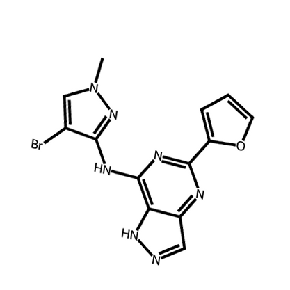 Cn1cc(Br)c(Nc2nc(-c3ccco3)nc3cn[nH]c23)n1